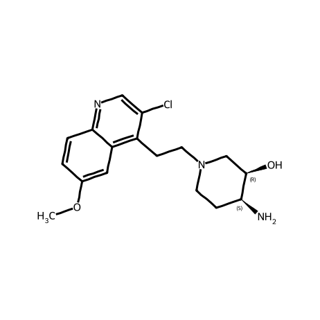 COc1ccc2ncc(Cl)c(CCN3CC[C@H](N)[C@H](O)C3)c2c1